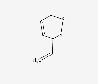 C=CC1C=CCSS1